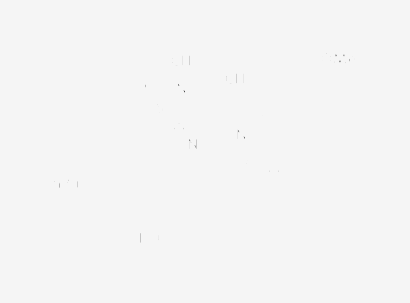 CCCCc1ccc(S(=O)(=O)N(C)C(C)c2nc3cc(C)ccc3c(=O)n2-c2ccc(OC)cc2)cc1